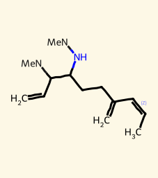 C=CC(NC)C(CCC(=C)/C=C\C)NNC